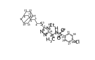 CCn1c(SCCC23CC4CC(CC(C4)C2)C3)nnc1[C@@H](C)NS(=O)(=O)c1ccc(Cl)cc1